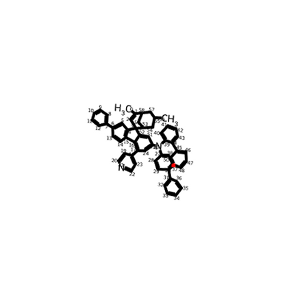 CC1=CC2(c3cc(-c4ccccc4)ccc3-c3c(-c4ccncc4)cc(N(c4ccc(-c5ccccc5)cc4)c4ccccc4-c4ccccc4)cc32)C2CC(C)CC1C2